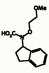 COCCON(C(=O)O)C1CCc2ccccc21